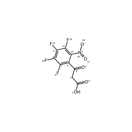 O=C(O)CC(=O)c1c(F)c(F)c(F)c(F)c1[N+](=O)[O-]